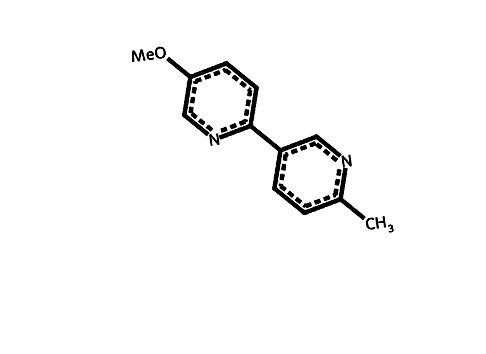 COc1ccc(-c2ccc(C)nc2)nc1